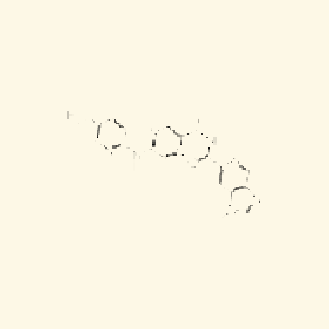 CC(NC(=O)c1cc2c(cn1)ncn2C)c1cnc(Nc2ccc(C(F)(F)F)cn2)cn1